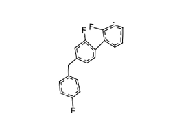 Fc1ccc(Cc2ccc(-c3ccc[c]c3F)c(F)c2)cc1